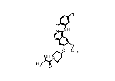 COc1cc2c(Nc3cc(Cl)ccc3F)ncnc2cc1OC1CCN(C(=O)[C@@H](C)O)CC1